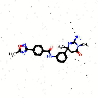 Cc1nc(-c2ccc(C(=O)Nc3cccc(C4(C)CC(=O)N(C)C(N)=N4)c3)cc2)no1